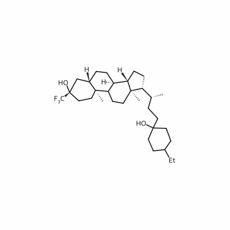 CCC1CCC(O)(CC[C@@H](C)[C@H]2CC[C@H]3[C@@H]4CC[C@H]5C[C@](O)(C(F)(F)F)CC[C@]5(C)C4CC[C@]23C)CC1